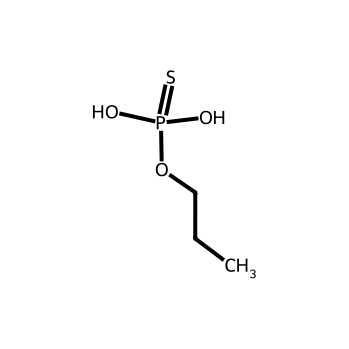 CCCOP(O)(O)=S